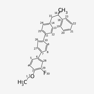 CCOc1ccc(-c2ccc(-c3ccc(C[C@@H](C)c4ccccc4)cc3)cc2)cc1F